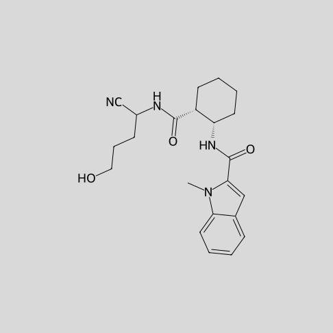 Cn1c(C(=O)N[C@H]2CCCC[C@H]2C(=O)NC(C#N)CCCO)cc2ccccc21